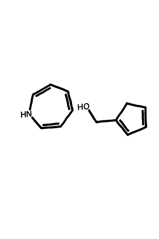 C1=CC=CNC=C1.OCC1=CC=CC1